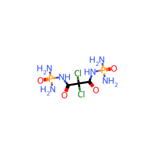 NP(N)(=O)NC(=O)C(Cl)(Cl)C(=O)NP(N)(N)=O